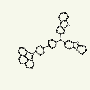 c1ccc2c(c1)sc1cc(N(c3ccc(-c4ccc(-n5c6cccc7ccc8cccc5c8c76)cc4)cc3)c3ccc4c(c3)sc3ccccc34)ccc12